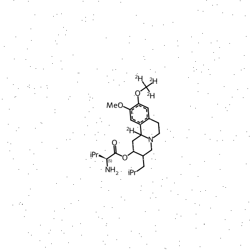 [2H]C([2H])([2H])Oc1cc2c(cc1OC)C1([2H])CC(OC(=O)[C@@H](N)C(C)C)C(CC(C)C)CN1CC2